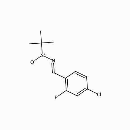 CC(C)(C)[S+]([O-])N=Cc1ccc(Cl)cc1F